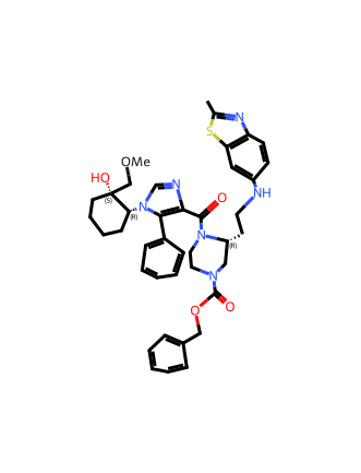 COC[C@]1(O)CCCC[C@H]1n1cnc(C(=O)N2CCN(C(=O)OCc3ccccc3)C[C@H]2CCNc2ccc3nc(C)sc3c2)c1-c1ccccc1